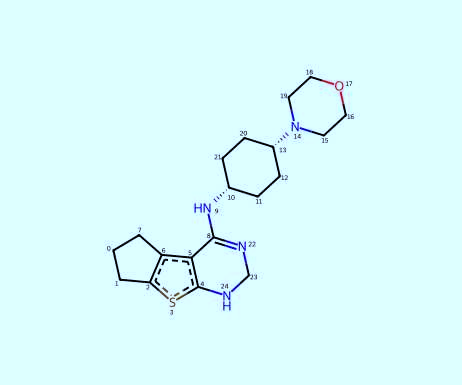 C1Cc2sc3c(c2C1)C(N[C@H]1CC[C@@H](N2CCOCC2)CC1)=NCN3